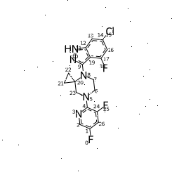 Fc1cnc(N2CCN(c3n[nH]c4cc(Cl)cc(F)c34)C3(CC3)C2)c(F)c1